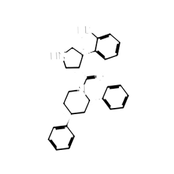 Bc1ccccc1[C@@H]1CNC[C@H]1C(=O)N1CC[C@H](c2ccccc2)C[C@H]1c1ccccc1